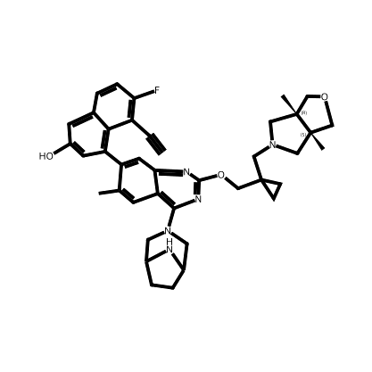 C#Cc1c(F)ccc2cc(O)cc(-c3cc4nc(OCC5(CN6C[C@]7(C)COC[C@]7(C)C6)CC5)nc(N5CC6CCC(C5)N6)c4cc3C)c12